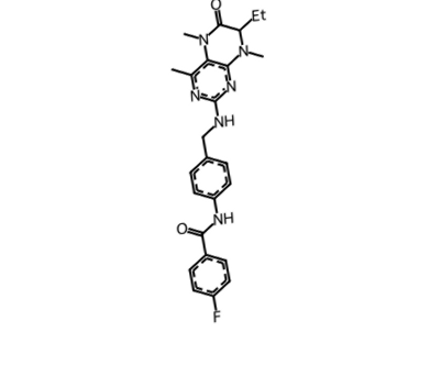 CCC1C(=O)N(C)c2c(C)nc(NCc3ccc(NC(=O)c4ccc(F)cc4)cc3)nc2N1C